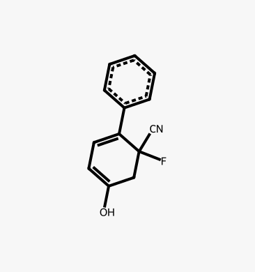 N#CC1(F)CC(O)=CC=C1c1ccccc1